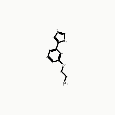 NCCOc1c[c]cc(-c2cncs2)c1